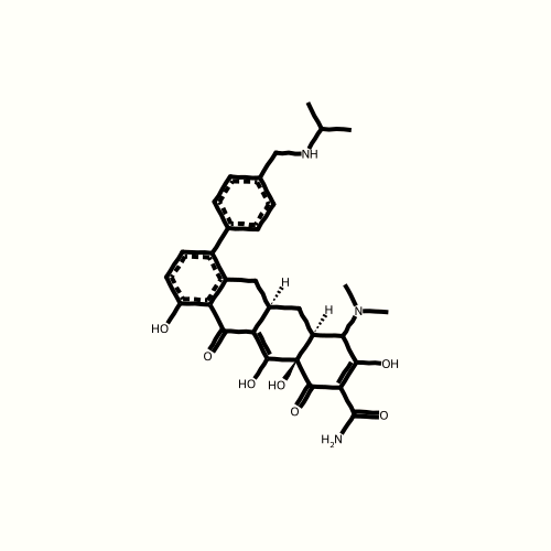 CC(C)NCc1ccc(-c2ccc(O)c3c2C[C@H]2C[C@H]4C(N(C)C)C(O)=C(C(N)=O)C(=O)[C@]4(O)C(O)=C2C3=O)cc1